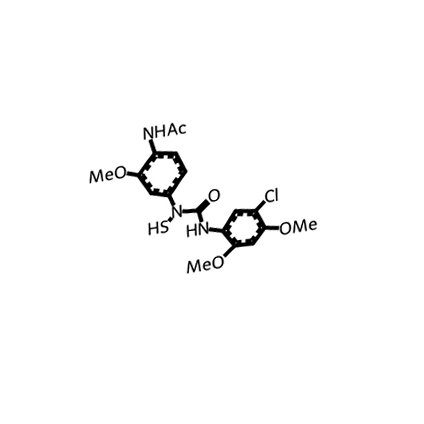 COc1cc(OC)c(NC(=O)N(S)c2ccc(NC(C)=O)c(OC)c2)cc1Cl